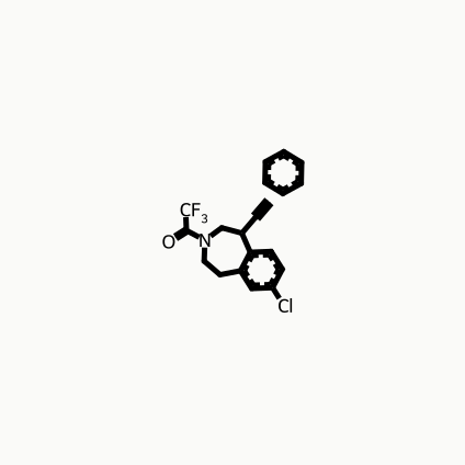 C#CC1CN(C(=O)C(F)(F)F)CCc2cc(Cl)ccc21.c1ccccc1